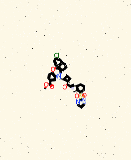 COC(=O)c1ccc2c(c1)N(C[C@@H]1CC[C@H]1C(=O)/C=C/[C@@H]1CCC[C@@H](S(=O)(=O)c3ncccn3)[C@H]1C)CC1(CCCc3cc(Cl)ccc31)CO2